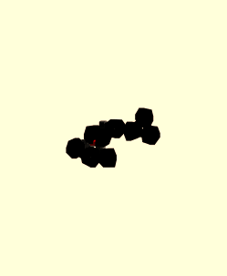 c1ccc(-n2c3ccccc3c3ccc4c5ccccc5n(-c5cc6c(cn5)sc5ccc(-c7ccc8c9ccccc9c9ccccc9c8c7)cc56)c4c32)cc1